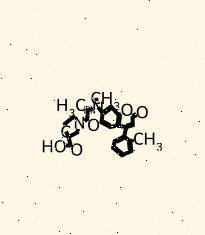 Cc1ccccc1-c1cc(=O)oc2cc(N(C)[C@H](C)C(=O)N3CCCC(C(=O)O)C3)ccc12